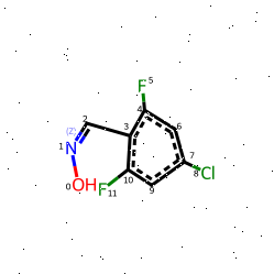 O/N=C\c1c(F)cc(Cl)cc1F